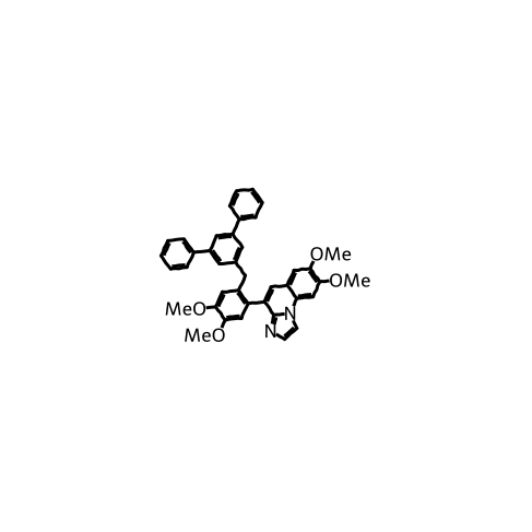 COc1cc(Cc2cc(-c3ccccc3)cc(-c3ccccc3)c2)c(-c2cc3cc(OC)c(OC)cc3n3ccnc23)cc1OC